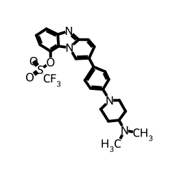 CN(C)C1CCN(c2ccc(-c3ccc4nc5cccc(OS(=O)(=O)C(F)(F)F)c5n4c3)cc2)CC1